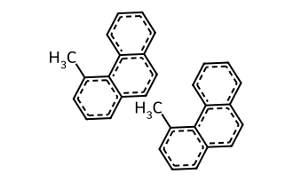 Cc1cccc2ccc3ccccc3c12.Cc1cccc2ccc3ccccc3c12